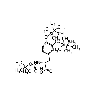 CC(C)(C)OC(=O)NC(Cc1ccc(O[Si](C)(C)C(C)(C)C)c(O[Si](C)(C)C(C)(C)C)c1)C(=O)O